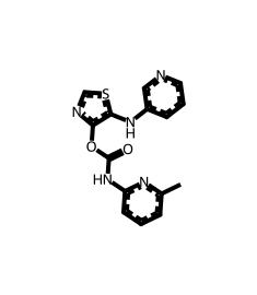 Cc1cccc(NC(=O)Oc2ncsc2Nc2cccnc2)n1